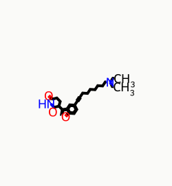 CCN(CC)CCCCCCCC#Cc1ccc2occ(C3CCC(=O)NC3=O)c2c1